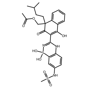 CC(=O)OCC1(CCC(C)C)C(=O)C(C2=NS(O)(O)c3cc(NS(C)(=O)=O)ccc3N2)=C(O)c2ccccc21